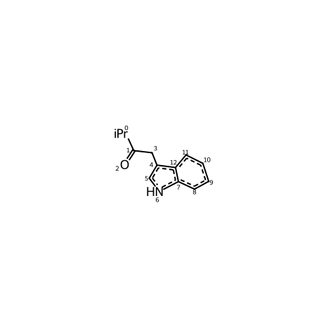 CC(C)C(=O)Cc1c[nH]c2ccccc12